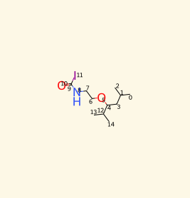 CC(C)CC(OCCNC(=O)I)C(C)C